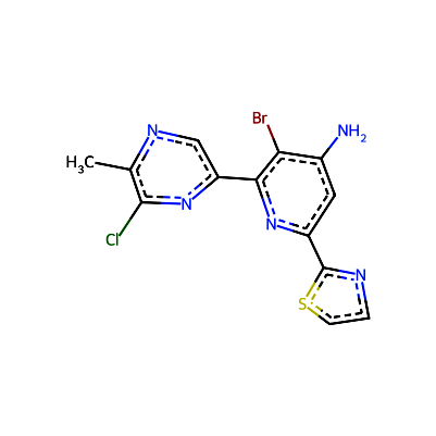 Cc1ncc(-c2nc(-c3nccs3)cc(N)c2Br)nc1Cl